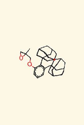 CC1(COc2cccc(C34CC5CC(CC(C5)C3)C4)c2C23CC4CC(CC(C4)C2)C3)CO1